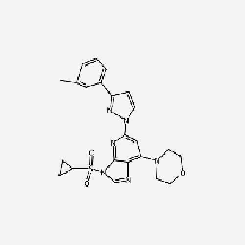 Cc1cccc(-c2ccn(-c3cc(N4CCOCC4)c4ncn(S(=O)(=O)C5CC5)c4n3)n2)c1